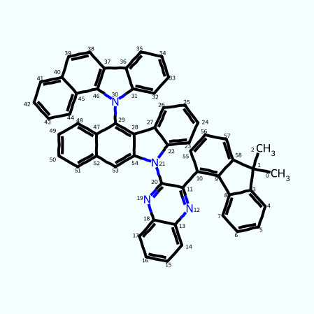 CC1(C)c2ccccc2-c2c(-c3nc4ccccc4nc3-n3c4ccccc4c4c(-n5c6ccccc6c6ccc7ccccc7c65)c5ccccc5cc43)cccc21